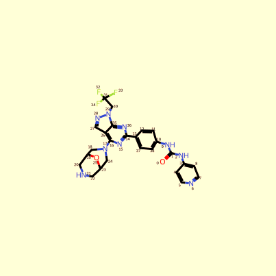 O=C(Nc1ccncc1)Nc1ccc(-c2nc(N3CC4CNCC(C3)O4)c3cnn(CC(F)(F)F)c3n2)cc1